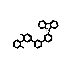 Cc1ccccc1-c1cc(-c2cccc(-c3cccc(-n4c5ccccc5c5ccccc54)c3)c2)ccc1C